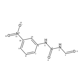 O=CNC(=O)Nc1cccc([N+](=O)[O-])c1